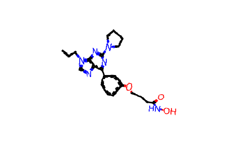 CCCn1cnc2c(-c3cccc(OCCCC(=O)NO)c3)nc(N3CCCC3)nc21